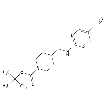 CC(C)(C)OC(=O)N1CCC(CNc2ccc(C#N)cn2)CC1